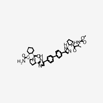 COC(=O)N[C@@H](C)C(=O)N1CCC[C@H]1c1ncc(-c2ccc(-c3ccc(-c4cnc([C@@H]5CCCN5C(=O)[C@H]5CCCC[C@H]5OC(N)=O)[nH]4)cc3)cc2)[nH]1